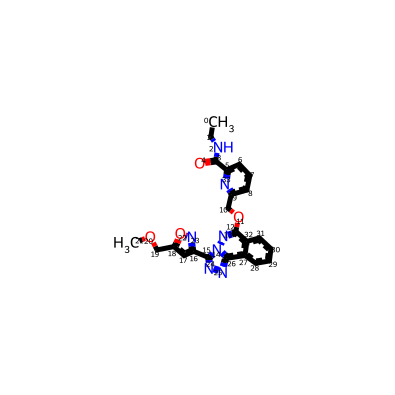 CCNC(=O)c1cccc(COc2nn3c(-c4cc(COC)on4)nnc3c3ccccc23)n1